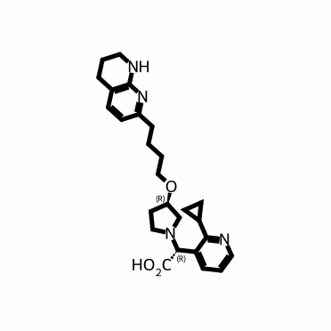 O=C(O)[C@@H](c1cccnc1C1CC1)N1CC[C@@H](OCCCCc2ccc3c(n2)NCCC3)C1